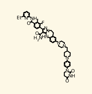 CCc1cccc(NC(=O)c2ccc(-c3nn4c(c3C(N)=O)Nc3ccc(N5CCN(CC6CCN(c7ccc(N8CCC(=O)NC8=O)cc7)CC6)CC5)cc3CC4)c(F)c2C)n1